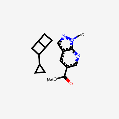 C1CC2C1CC2C1CC1.CCn1ncc2cc(C(=O)OC)cnc21